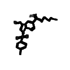 CCCCCC(=N)c1ccc2c(c1)c(C=O)cn2S(=O)(=O)c1ccc(C)cc1